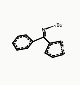 CC[C@H](C)N=C(c1ccccc1)c1ccccc1